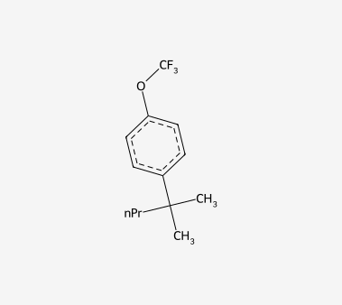 CCCC(C)(C)c1ccc(OC(F)(F)F)cc1